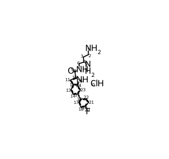 Cl.NCC[C@H](N)CNC(=O)c1cc2ccc(-c3ccc(F)cc3)cc2[nH]1